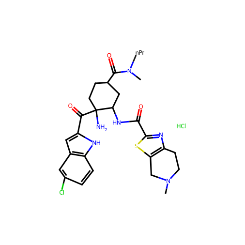 CCCN(C)C(=O)C1CCC(N)(C(=O)c2cc3cc(Cl)ccc3[nH]2)C(NC(=O)c2nc3c(s2)CN(C)CC3)C1.Cl